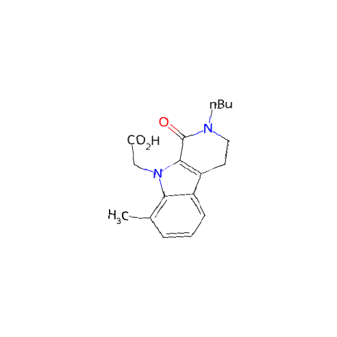 CCCCN1CCc2c(n(CC(=O)O)c3c(C)cccc23)C1=O